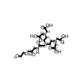 COCCOCC(O)CNC(=O)CN(CCN(CC(=O)O)CC(=O)O)CCN(CC(=O)O)CC(=O)O